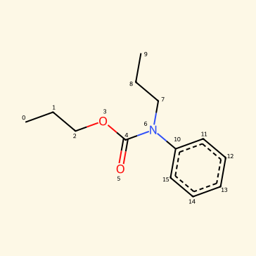 CCCOC(=O)N(CCC)c1ccccc1